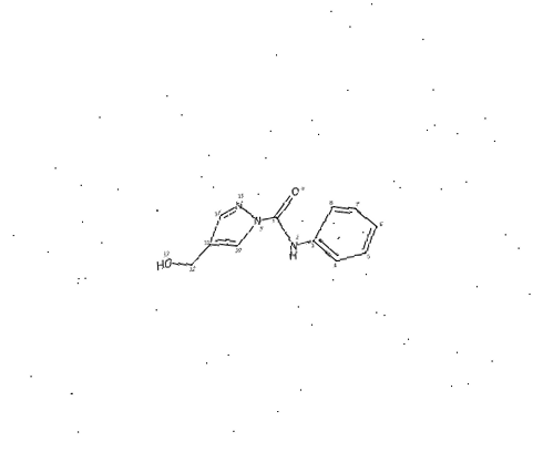 O=C(Nc1ccccc1)n1cc(CO)cn1